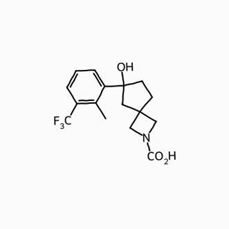 Cc1c(C(F)(F)F)cccc1C1(O)CCC2(CN(C(=O)O)C2)C1